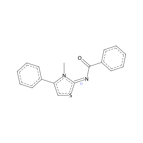 Cn1c(-c2ccccc2)cs/c1=N/C(=O)c1ccccc1